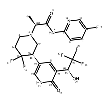 C[C@@H](C(=O)Nc1ccc(F)cn1)N1CCC(F)(F)[C@@H](c2c[nH]c(=O)c([C@@H](O)C(F)(F)F)c2)C1